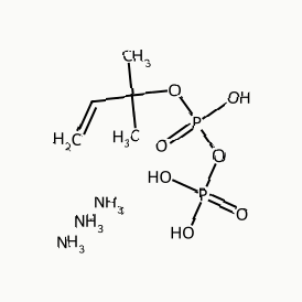 C=CC(C)(C)OP(=O)(O)OP(=O)(O)O.N.N.N